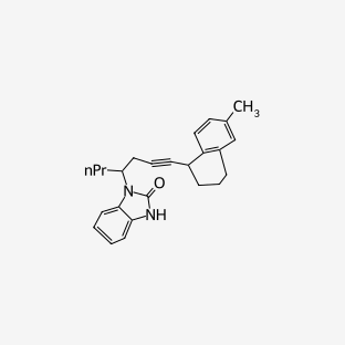 CCCC(CC#CC1CCCc2cc(C)ccc21)n1c(=O)[nH]c2ccccc21